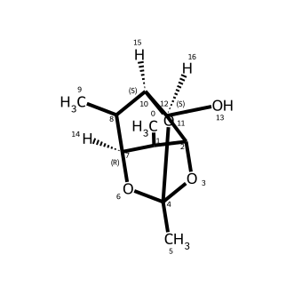 CC1C2OC3(C)O[C@H]1C(C)[C@H](O3)[C@H]2O